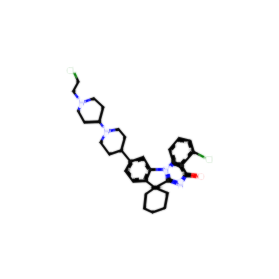 O=c1nc2n(c3cccc(Cl)c13)-c1cc(C3CCN(C4CCN(CCCl)CC4)CC3)ccc1C21CCCCC1